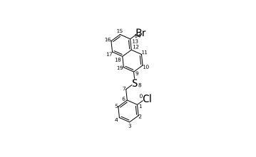 Clc1ccccc1CSc1ccc2c(Br)cccc2c1